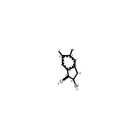 Cc1cc2c(cc1C)C(=O)C(Br)C2